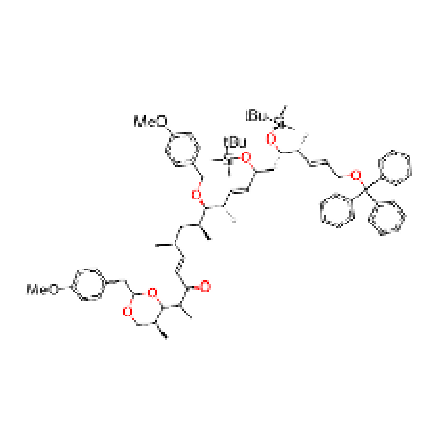 COc1ccc(CO[C@@H]([C@@H](C)C=C[C@H](C[C@H](O[Si](C)(C)C(C)(C)C)[C@H](C)C=CCOC(c2ccccc2)(c2ccccc2)c2ccccc2)O[Si](C)(C)C(C)(C)C)[C@@H](C)C[C@H](C)C=CC(=O)C(C)C2OC(Cc3ccc(OC)cc3)OC[C@@H]2C)cc1